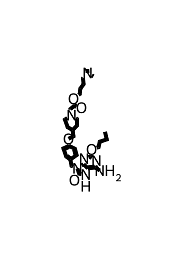 CCCCOc1nc(N)c2[nH]c(=O)n(Cc3ccc(OCC4CCN(CC(=O)OCCCCN(C)C)CC4)cc3)c2n1